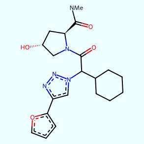 CNC(=O)[C@@H]1C[C@@H](O)CN1C(=O)C(C1CCCCC1)n1cc(-c2ccco2)nn1